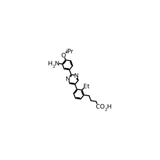 CCc1c(CCCC(=O)O)cccc1-c1cnc(-c2ccc(OC(C)C)c(N)c2)nc1